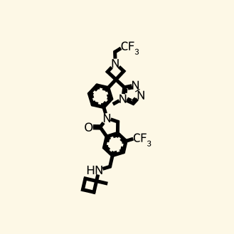 Cn1cnnc1C1(c2cccc(N3Cc4c(cc(CNC5(C)CCC5)cc4C(F)(F)F)C3=O)c2)CN(CC(F)(F)F)C1